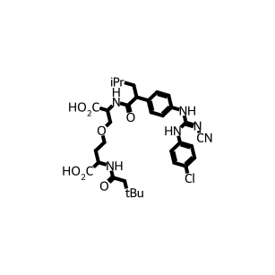 CC(C)CC(C(=O)NC(COCCC(NC(=O)CC(C)(C)C)C(=O)O)C(=O)O)c1ccc(NC(=NC#N)Nc2ccc(Cl)cc2)cc1